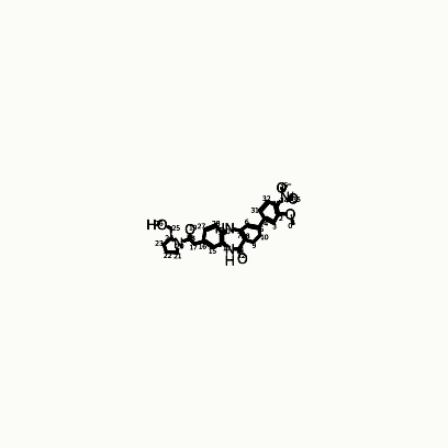 COc1cc(C2=CC3=C(CC2)C(=O)Nc2cc(CC(=O)N4CCC[C@H]4CO)ccc2N3)ccc1[N+](=O)[O-]